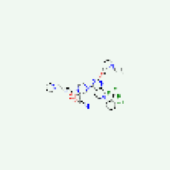 CN1CCC[C@H]1COc1nc2c(c(N3CCN(C(=O)/C=C/CN4CCCC4)[C@@H]([C@@H](O)C#N)C3)n1)CCN(c1cccc(Cl)c1C(F)(F)F)C2